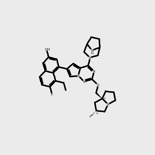 CCc1c(F)ccc2cc(O)cc(-c3cc4c(N5CC6CCC(C5)N6)nc(OC[C@@]56CCCN5C[C@H](F)C6)nn4c3)c12